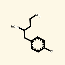 NCCC(Cc1ccc(Cl)cc1)C(=O)O